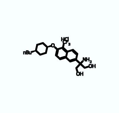 CCCC[C@H]1CC[C@@H](Oc2ccc3cc(C(N)(CO)CO)ccc3c2C(F)(F)F)CC1.Cl